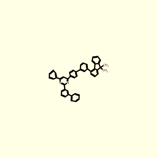 CC1(C)c2ccccc2-c2c(-c3cccc(-c4ccc(-c5cc(-c6ccccc6)nc(-c6cccc(-c7ccccc7)c6)n5)cc4)c3)cccc21